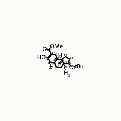 COC(=O)C1=C(O)C[C@@H]2CC[C@]3(C)[C@H](CC[C@H]3OC(C)(C)C)[C@H]2C1